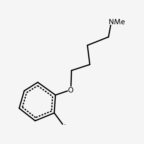 [CH2]c1ccccc1OCCCCNC